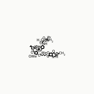 C=C1C[C@H]2C=Nc3cc(OCCCCCOc4cc5c(cc4OC)C(=O)N4CC6(CC6)C[C@H]4C(O)N5C(=O)OCc4ccc(NC(=O)[C@H](C)NC(=O)[C@@H](N)C(C)C)cc4)c(OC)cc3C(=O)N2C1